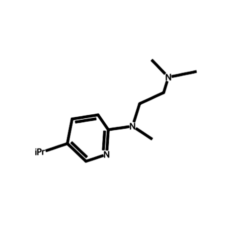 CC(C)c1ccc(N(C)CCN(C)C)nc1